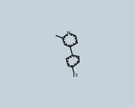 CCc1ccc(-c2ccnc(C)c2)cc1